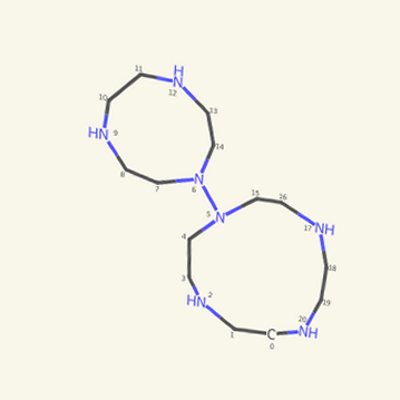 C1CNCCN(N2CCNCCNCC2)CCNCCN1